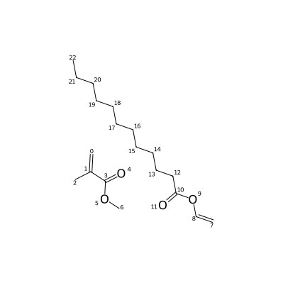 C=C(C)C(=O)OC.C=COC(=O)CCCCCCCCCCC